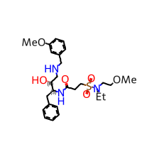 CCN(CCOC)S(=O)(=O)CCC(=O)N[C@@H](Cc1ccccc1)[C@H](O)CNCc1cccc(OC)c1